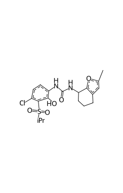 Cc1cc2c(o1)C(NC(=O)Nc1ccc(Cl)c(S(=O)(=O)C(C)C)c1O)CCC2